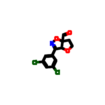 O=CC12CCOC1C(c1cc(Cl)cc(Cl)c1)=NO2